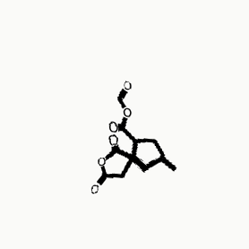 CC1CC(C(=O)OC=O)C2(CC(=O)OC2=O)C1